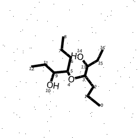 CCCC(OC(CCC)C(O)CC)C(O)CC